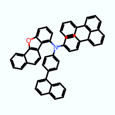 c1ccc(-c2cccc3cccc(-c4ccc(N(c5ccc(-c6cccc7ccccc67)cc5)c5cccc6oc7c8ccccc8ccc7c56)cc4)c23)cc1